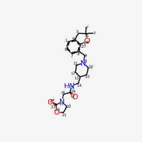 CC1(C)Cc2cccc(CN3CCC(CNC(=O)CN4CCOC4=O)CC3)c2O1